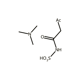 CC(=O)CC(=O)NS(=O)(=O)O.CN(C)C